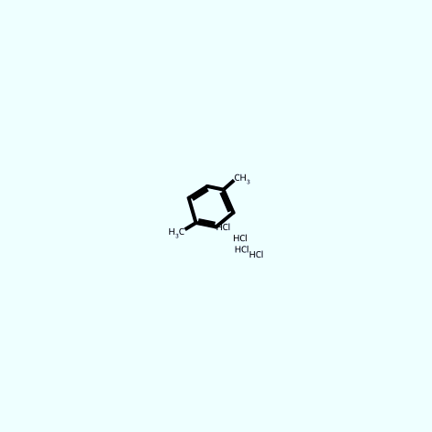 Cc1ccc(C)cc1.Cl.Cl.Cl.Cl